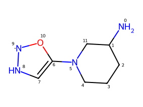 NC1CCCN(C2=CN[N]O2)C1